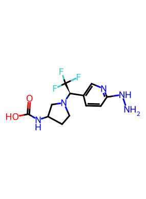 NNc1ccc([C@@H](N2CCC(NC(=O)O)C2)C(F)(F)F)cn1